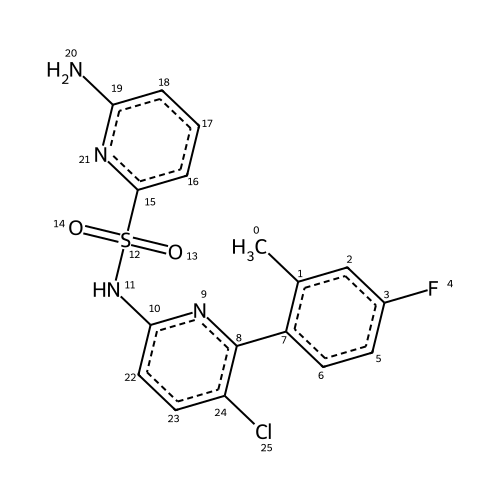 Cc1cc(F)ccc1-c1nc(NS(=O)(=O)c2cccc(N)n2)ccc1Cl